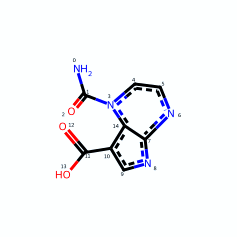 NC(=O)n1ccnc2ncc(C(=O)O)c1-2